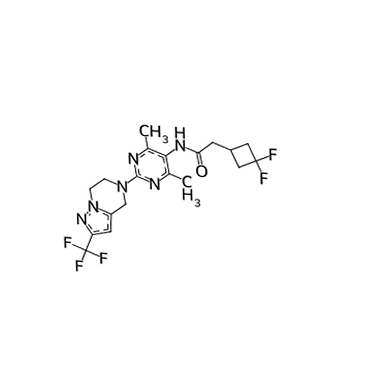 Cc1nc(N2CCn3nc(C(F)(F)F)cc3C2)nc(C)c1NC(=O)CC1CC(F)(F)C1